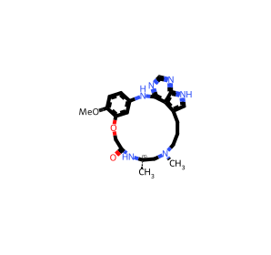 COc1ccc2cc1OCC(=O)N[C@@H](C)CN(C)CCCc1c[nH]c3ncnc(c13)N2